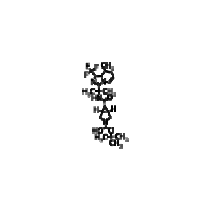 Cc1cccn2c(C(C)(C)NC(=O)[C@H]3[C@@H]4CN(C(O)OC(C)(C)C)C[C@@H]43)nc(C(F)(F)F)c12